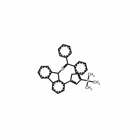 C[Si](C)(C)C1=CCC(c2cccc3c2[CH]([Zr]=[C](c2ccccc2)c2ccccc2)c2ccccc2-3)=C1